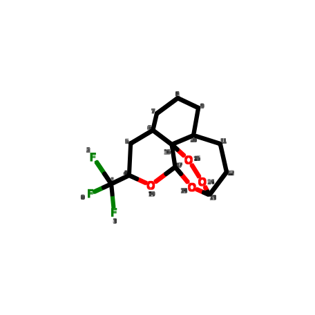 FC(F)(F)C1CC2CCCC3CCC4OOC32C(O4)O1